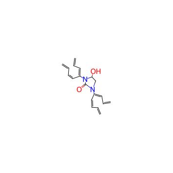 C=C/C=C\C(=C/C=C)N1CC(O)N(C(/C=C\C=C)=C/C=C)C1=O